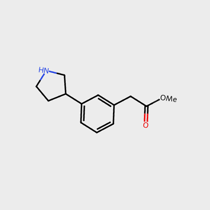 COC(=O)Cc1cccc(C2CCNC2)c1